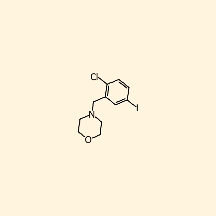 Clc1ccc(I)cc1CN1CCOCC1